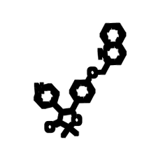 CC1(C)OC(c2ccc(OCc3ccc4ccccc4n3)cc2)=C(c2ccncc2)C1=O